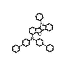 c1ccc(-c2ccc(N(c3ccc(-c4ccccc4)cc3)c3cccc4c3oc3c5ccccc5n(-c5ccccc5)c43)cc2)cc1